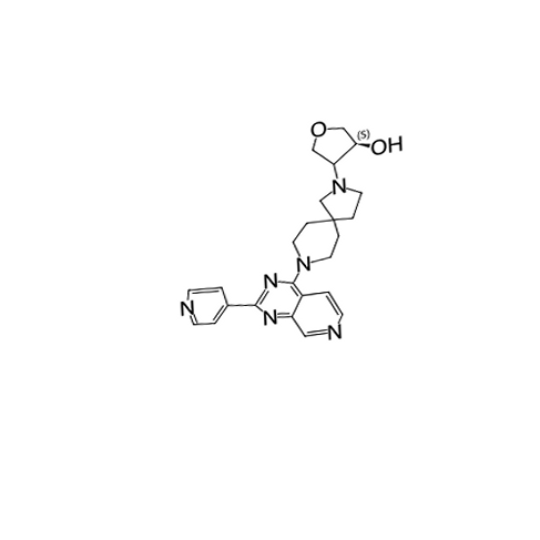 O[C@@H]1COCC1N1CCC2(CCN(c3nc(-c4ccncc4)nc4cnccc34)CC2)C1